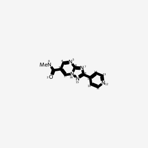 CNC(=O)c1cnc2nc(-c3ccncc3)nn2c1